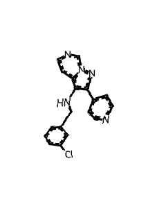 Clc1cccc(CNc2c(-c3ccncc3)nn3cnccc23)c1